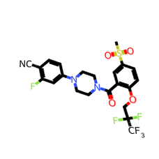 CS(=O)(=O)c1ccc(OCC(F)(F)C(F)(F)F)c(C(=O)N2CCN(c3ccc(C#N)c(F)c3)CC2)c1